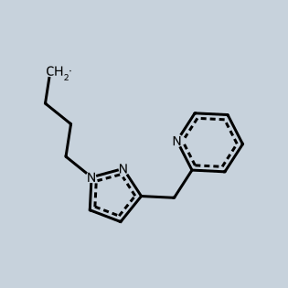 [CH2]CCCn1ccc(Cc2ccccn2)n1